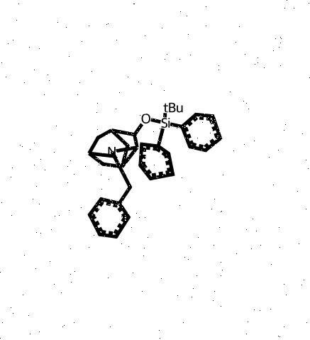 CC(C)(C)[Si](OC1C2CC3CC(C2)C1N(Cc1ccccc1)C3)(c1ccccc1)c1ccccc1